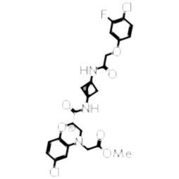 COC(=O)CN1C[C@@H](C(=O)NC23CC(NC(=O)COc4ccc(Cl)c(F)c4)(C2)C3)Oc2ccc(Cl)cc21